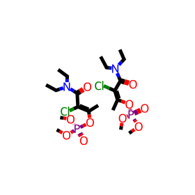 CCN(CC)C(=O)/C(Cl)=C(/C)OP(=O)(OC)OC.CCN(CC)C(=O)/C(Cl)=C(\C)OP(=O)(OC)OC